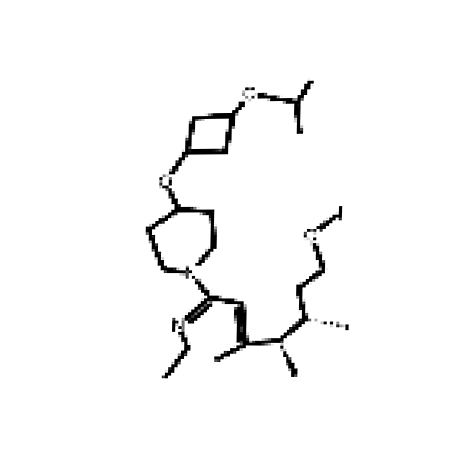 CC/N=C(\C=C(/C)[C@H](C)[C@@H](C)CCOI)N1CCC(OC2CC(OC(C)C)C2)CC1